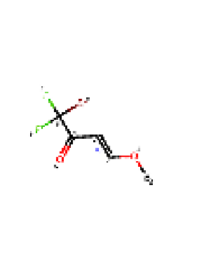 CCO/C=C/C(=O)C(F)(F)Br